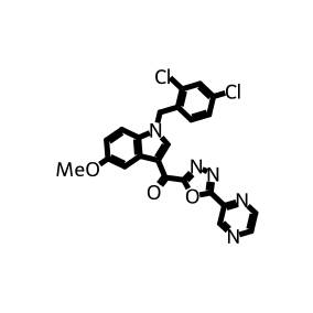 COc1ccc2c(c1)c(C(=O)c1nnc(-c3cnccn3)o1)cn2Cc1ccc(Cl)cc1Cl